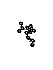 c1ccc(-c2cc(-c3ccccc3)cc(N(c3ccc(-c4ccc5oc6c(-c7ccccc7)cccc6c5c4)cc3)c3ccc4c(c3)C(c3ccccc3)(c3ccccc3)c3ccccc3-4)c2)cc1